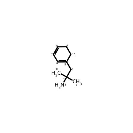 CC(C)(N)CC1=CC=CCC1